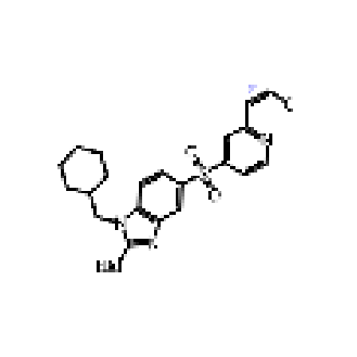 CC(C)(C)c1nc2cc(S(=O)(=O)c3ccnc(/C=C\Cl)c3)ccc2n1CC1CCCCC1